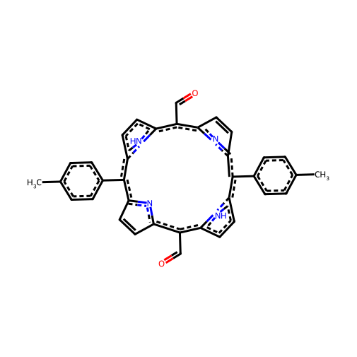 Cc1ccc(-c2c3nc(c(C=O)c4ccc([nH]4)c(-c4ccc(C)cc4)c4nc(c(C=O)c5ccc2[nH]5)C=C4)C=C3)cc1